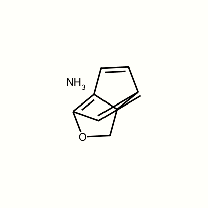 C1=CC2=C3C=C1C2CO3.N